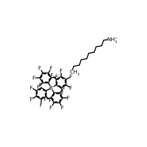 CCCCCCCCCC[NH3+].Fc1c(F)c(F)c([B-](c2c(F)c(F)c(F)c(F)c2F)(c2c(F)c(F)c(F)c(F)c2F)c2c(F)c(F)c(F)c(F)c2F)c(F)c1F